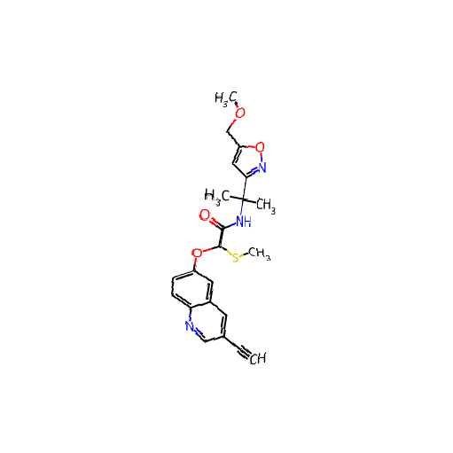 C#Cc1cnc2ccc(OC(SC)C(=O)NC(C)(C)c3cc(COC)on3)cc2c1